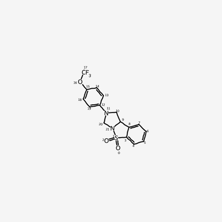 O=S1(=O)c2ccccc2C2CN(c3ccc(OC(F)(F)F)cc3)CN21